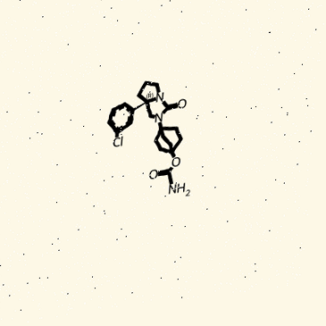 NC(=O)OC12CCC(N3C[C@]4(c5cccc(Cl)c5)CCCN4C3=O)(CC1)CC2